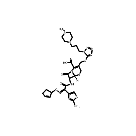 CN1CCN(CCCn2nnnc2SCC2=C(C(=O)O)N3C(=O)C(NC(=O)/C(=N\OC4C=CCC4)c4csc(N)n4)[C@H]3SC2)CC1